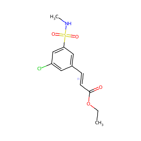 CCOC(=O)/C=C/c1cc(Cl)cc(S(=O)(=O)NC)c1